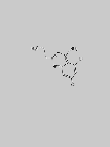 CCCc1cc(N)c2c(Cl)cc(Cl)cc2n1